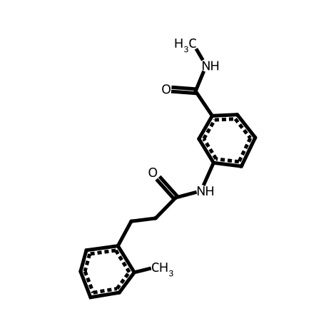 CNC(=O)c1cccc(NC(=O)CCc2ccccc2C)c1